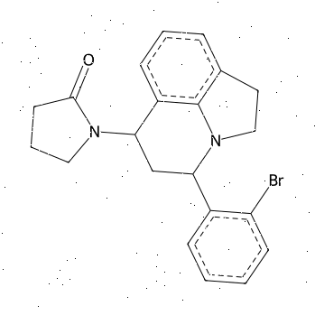 O=C1CCCN1C1CC(c2ccccc2Br)N2CCc3cccc1c32